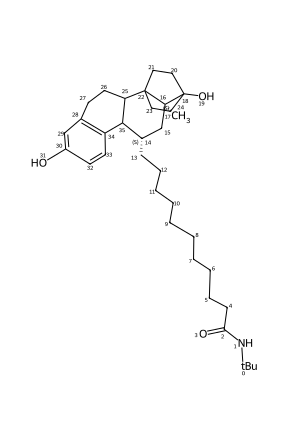 CC(C)(C)NC(=O)CCCCCCCCCC[C@H]1C[C@]2(C)C3(O)CCC2(CC3)C2CCc3cc(O)ccc3C21